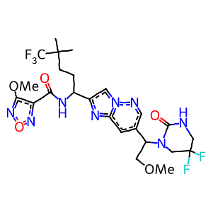 COCC(c1cnn2cc(C(CCC(C)(C)C(F)(F)F)NC(=O)c3nonc3OC)nc2c1)N1CC(F)(F)CNC1=O